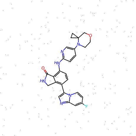 O=C1NCc2c(-c3cnc4cc(F)ccn34)ccc(Nc3ccc(N4CCOCC45CC5)cn3)c21